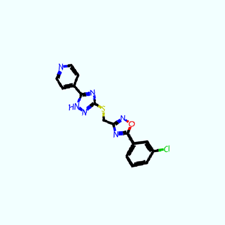 Clc1cccc(-c2nc(CSc3n[nH]c(-c4ccncc4)n3)no2)c1